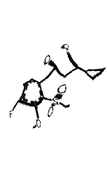 COc1c(F)ccc(C(=O)CC(=O)C2CC2)c1S(C)(=O)=O